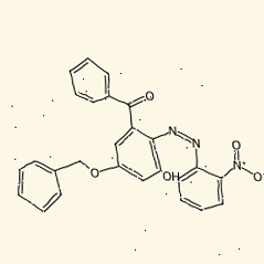 O=C(c1ccccc1)c1cc(OCc2ccccc2)cc(O)c1/N=N\c1ccccc1[N+](=O)[O-]